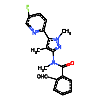 Cc1c(N(C)C(=O)c2ccccc2C=O)nn(C)c1-c1ccc(F)cn1